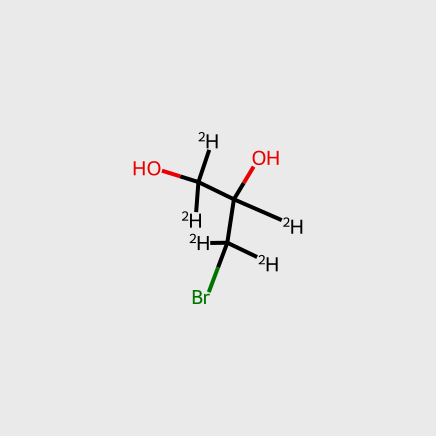 [2H]C([2H])(O)C([2H])(O)C([2H])([2H])Br